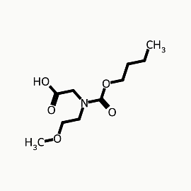 CCCCOC(=O)N(CCOC)CC(=O)O